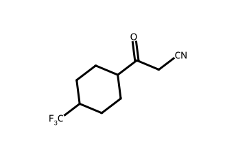 N#CCC(=O)C1CCC(C(F)(F)F)CC1